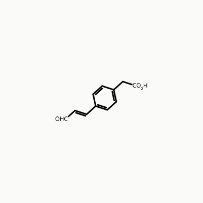 O=C/C=C/c1ccc(CC(=O)O)cc1